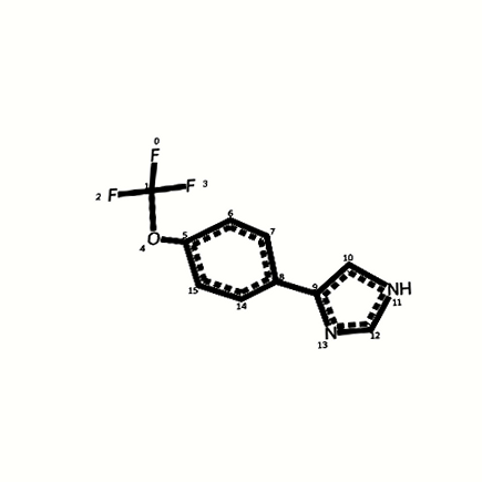 FC(F)(F)Oc1ccc(-c2c[nH]cn2)cc1